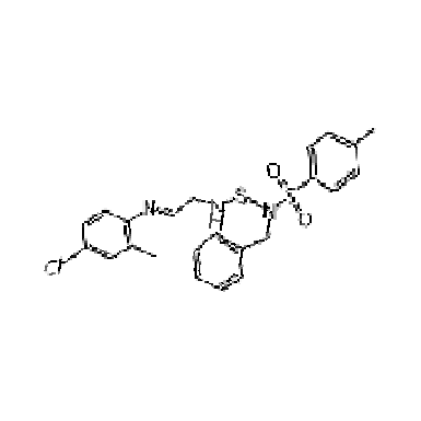 Cc1ccc(S(=O)(=O)N(Cc2ccccc2)SNCC=Nc2ccc(Cl)cc2C)cc1